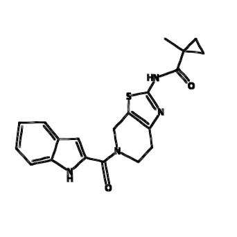 CC1(C(=O)Nc2nc3c(s2)CN(C(=O)c2cc4ccccc4[nH]2)CC3)CC1